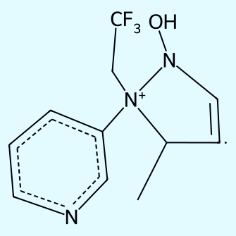 CC1[C]=CN(O)[N+]1(CC(F)(F)F)c1cccnc1